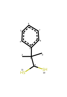 CC(C)(c1[c]cccc1)C(S)S